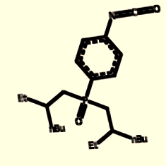 CCCCC(CC)CP(=O)(CC(CC)CCCC)c1ccc(N=C=O)cc1